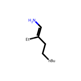 CCCCCC/C(=C/N)CC